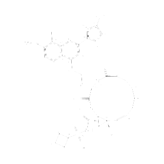 COc1ccc2c(OCC[C@@H]3NC(=O)CCCCC/C=C\[C@@H]4C[C@@]4(C(=O)NS(=O)(=O)C4CCC4)NC3=O)cc(-c3nc(C(C)C)cs3)nc2c1C